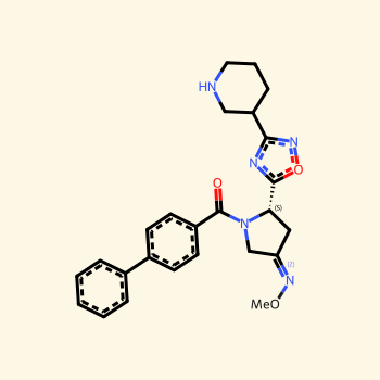 CO/N=C1/C[C@@H](c2nc(C3CCCNC3)no2)N(C(=O)c2ccc(-c3ccccc3)cc2)C1